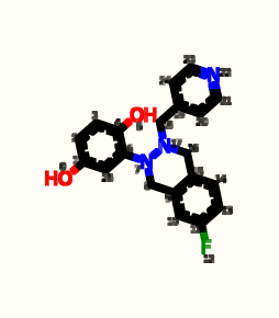 Oc1ccc(O)c(N2Cc3cc(F)ccc3CN2Cc2ccncc2)c1